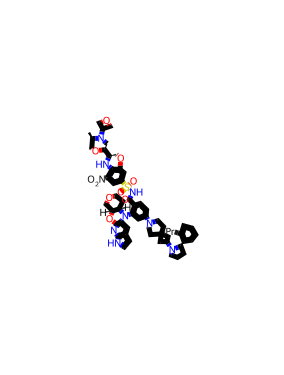 CC(C)c1ccccc1[C@@H]1CCCN1C1CC2(CCN(c3ccc(C(=O)NS(=O)(=O)c4cc5c(c([N+](=O)[O-])c4)N[C@H]([C@H]4CN(C6COC6)[C@H](C)CO4)CO5)c(N4c5cc6cc[nH]c6nc5O[C@H]5COCC[C@H]54)c3)CC2)C1